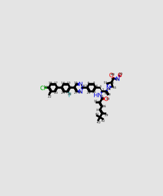 C=C([C@H](Cc1ccc(-c2ncc(-c3ccc(-c4ccc(Cl)c(C)c4)cc3F)cn2)cc1)NC(=O)/C(C)=C/C=C(\C)C(C)(C)C)N1CC(C(=O)N=O)C1